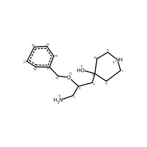 NCC(CC1(O)CCNCC1)OCc1ccccc1